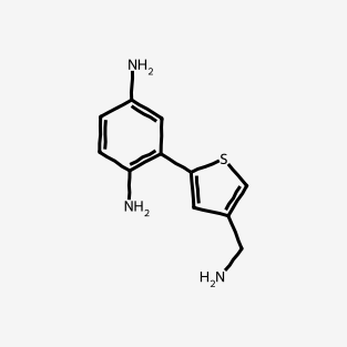 NCc1csc(-c2cc(N)ccc2N)c1